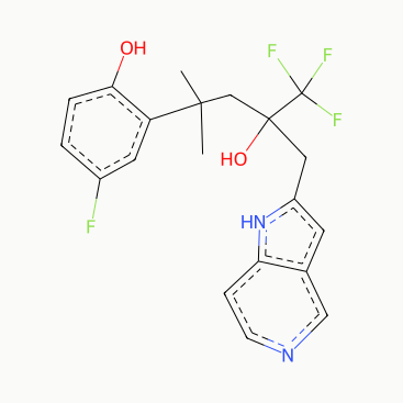 CC(C)(CC(O)(Cc1cc2cnccc2[nH]1)C(F)(F)F)c1cc(F)ccc1O